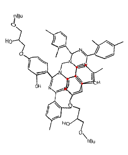 CCCCOCC(O)COc1ccc(C2=NC(c3ccc(C)cc3C)=NC(c3ccc(C)cc3C)N2CN2C(c3ccc(OCC(O)COCCCC)cc3O)=NC(c3ccc(C)cc3C)=NC2c2ccc(C)cc2C)c(O)c1